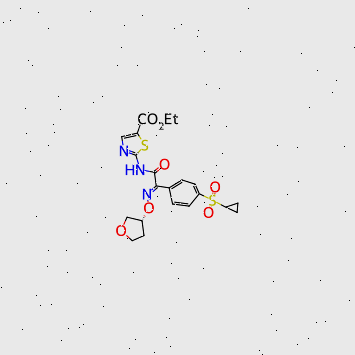 CCOC(=O)c1cnc(NC(=O)/C(=N/O[C@@H]2CCOC2)c2ccc(S(=O)(=O)C3CC3)cc2)s1